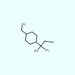 CCC1CCC(C(C)(O)CO)CC1